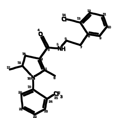 CC1=C(C(=O)NCCc2ccccc2Cl)CC(C)N1c1ccccc1C(F)(F)F